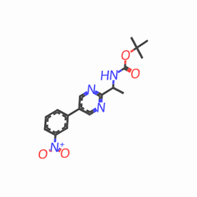 CC(NC(=O)OC(C)(C)C)c1ncc(-c2cccc([N+](=O)[O-])c2)cn1